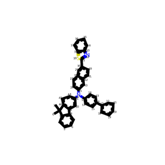 CC1(C)c2ccccc2-c2cc(N(c3ccc(-c4ccccc4)cc3)c3ccc4cc(-c5nc6ccccc6s5)ccc4c3)ccc21